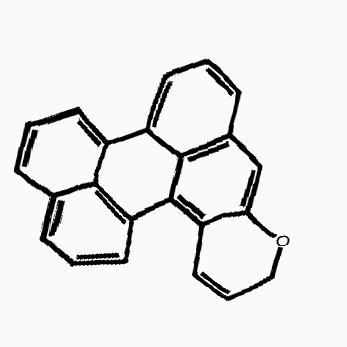 C1=Cc2c(cc3cccc4c5cccc6cccc(c2c34)c65)OC1